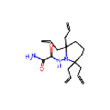 C=CCC1(CC=C)CCCC(CC=C)(CC=C)N1NC(=O)C(N)=O